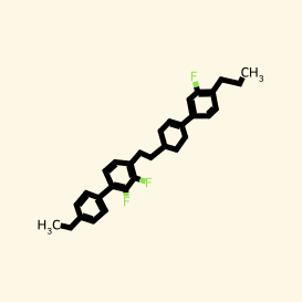 CCCc1ccc(C2=CCC(CCc3ccc(-c4ccc(CC)cc4)c(F)c3F)CC2)cc1F